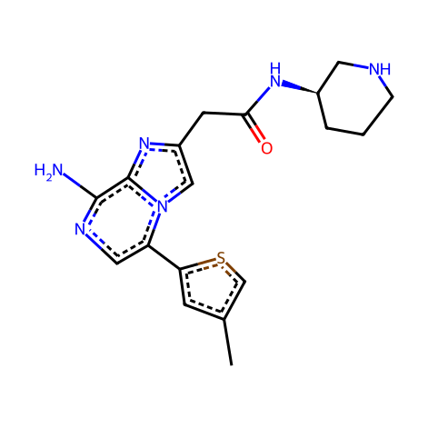 Cc1csc(-c2cnc(N)c3nc(CC(=O)N[C@@H]4CCCNC4)cn23)c1